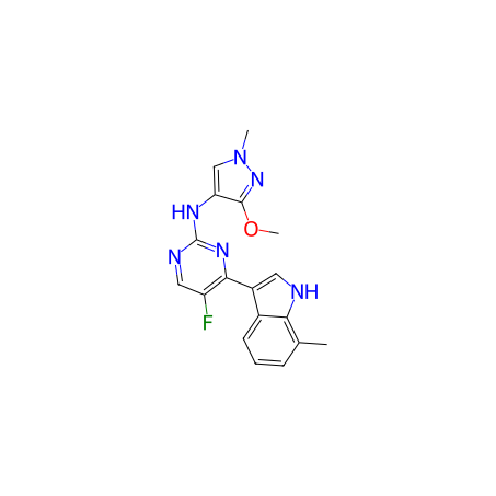 COc1nn(C)cc1Nc1ncc(F)c(-c2c[nH]c3c(C)cccc23)n1